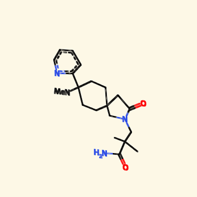 CNC1(c2ccccn2)CCC2(CC1)CC(=O)N(CC(C)(C)C(N)=O)C2